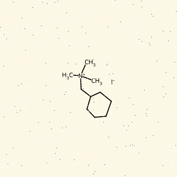 C[N+](C)(C)CC1CCCCC1.[I-]